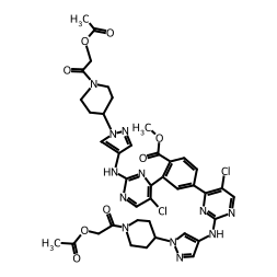 COC(=O)c1ccc(-c2nc(Nc3cnn(C4CCN(C(=O)COC(C)=O)CC4)c3)ncc2Cl)cc1-c1nc(Nc2cnn(C3CCN(C(=O)COC(C)=O)CC3)c2)ncc1Cl